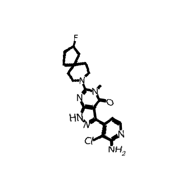 Cn1c(N2CCC3(CCC(F)C3)CC2)nc2[nH]nc(-c3ccnc(N)c3Cl)c2c1=O